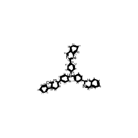 c1ccc2nc(-c3ccc(N(c4ccc(-c5ccc6c(n5)oc5ccccc56)cc4)c4ccc(-c5ncc6ccccc6n5)cc4)cc3)ncc2c1